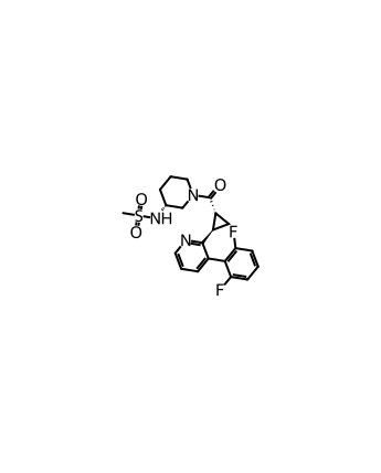 CS(=O)(=O)N[C@@H]1CCCN(C(=O)[C@@H]2C[C@H]2c2ncccc2-c2c(F)cccc2F)C1